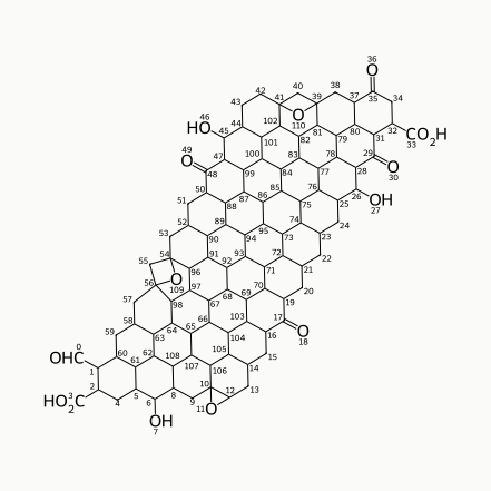 O=CC1C(C(=O)O)CC2C(O)C3CC45OC4CC4CC6C(=O)C7CC8CC9CC%10C(O)C%11C(=O)C%12C(C(=O)O)CC(=O)C%13CC%14%15CC%16(CCC%17C(O)C%18C(=O)C%19CC%20CC%21%22CC%23(CC%24CC1C2C1C%24C2C%24C%25C%26C%27C(C7C7C8C8C9C9C%10C%10C%11C(C%13%12)C%14C%11C%10C%10C9C9C(C%19C%12C%20C(C%27C7C%12C89)C%21C%26C2%23)C%18C%10C%17C%11%16)C6C%25C4C5C%24C31)O%22)O%15